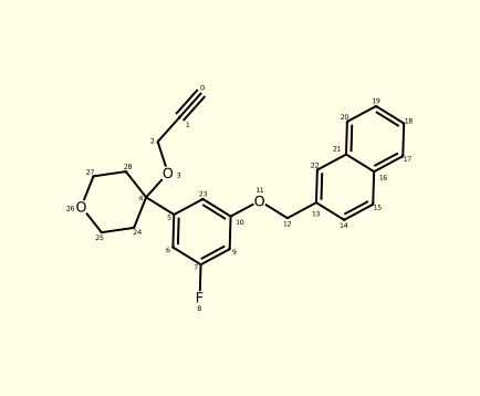 C#CCOC1(c2cc(F)cc(OCc3ccc4ccccc4c3)c2)CCOCC1